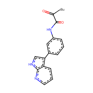 CCC(C)C(=O)C(=O)Nc1cccc(-c2c[nH]c3nc[c]cc23)c1